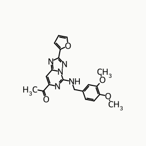 COc1ccc(CNc2nc(C(C)=O)cc3nc(-c4ccco4)nn23)cc1OC